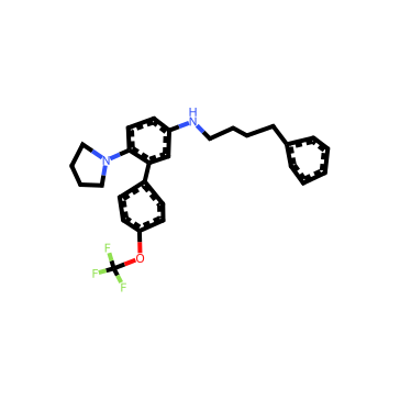 FC(F)(F)Oc1ccc(-c2cc(NCCCCc3ccccc3)ccc2N2CCCC2)cc1